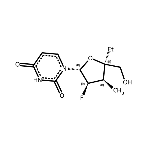 CC[C@@]1(CO)O[C@@H](n2ccc(=O)[nH]c2=O)[C@H](F)[C@@H]1C